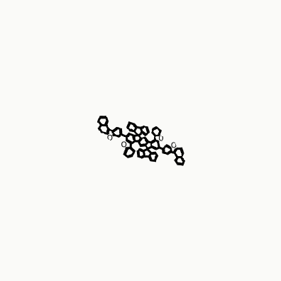 c1ccc2c(c1)-c1ccccc1C21c2cc3c(cc2-c2c1cc(-c1ccc4c(c1)oc1ccc5ccccc5c14)c1oc4ccccc4c21)C1(c2ccccc2-c2ccccc21)c1cc(-c2ccc4c(c2)oc2ccc5ccccc5c24)c2oc4ccccc4c2c1-3